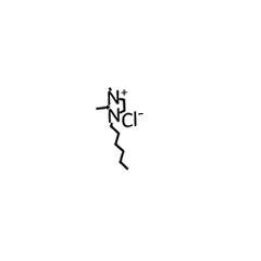 CCCCCCN1CC[N+](C)=C1C.[Cl-]